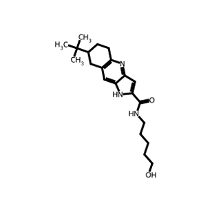 CC(C)(C)C1CCc2nc3cc(C(=O)NCCCCCO)[nH]c3cc2C1